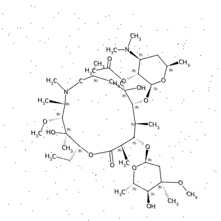 CC[C@H]1OC(=O)[C@H](C)[C@@H](O[C@H]2C[C@@](C)(OC)[C@@H](O)[C@H](C)O2)[C@H](C)[C@@H](O[C@@H]2O[C@H](C)C[C@H](N(C)C)[C@H]2OC(C)=O)[C@](C)(O)C[C@@H](C)CN(C)[C@H](C)[C@@H](OC)[C@]1(C)O